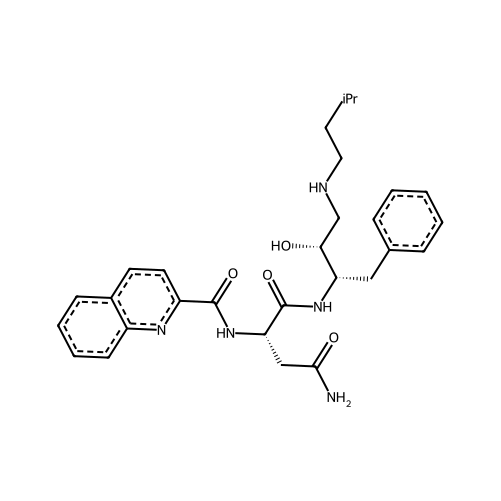 CC(C)CCNC[C@@H](O)[C@H](Cc1ccccc1)NC(=O)[C@H](CC(N)=O)NC(=O)c1ccc2ccccc2n1